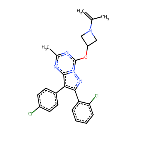 C=C(C)N1CC(Oc2nc(C)nc3c(-c4ccc(Cl)cc4)c(-c4ccccc4Cl)nn23)C1